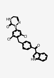 O=C(c1ccc(Cc2c(Cl)cc(N3N=CCNC3=O)cc2Cl)cc1)c1c[nH]c2ccccc12